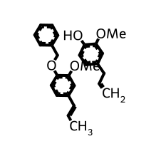 C=CCc1ccc(O)c(OC)c1.CC=Cc1ccc(OCc2ccccc2)c(OC)c1